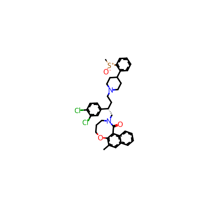 Cc1cc2ccccc2c2c1OCCCN(C[C@@H](CCN1CCC(c3ccccc3[S@+](C)[O-])CC1)c1ccc(Cl)c(Cl)c1)C2=O